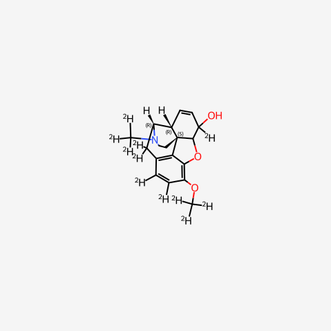 [2H]c1c([2H])c2c3c(c1OC([2H])([2H])[2H])OC1C([2H])(O)C=C[C@H]4[C@H](N(C([2H])([2H])[2H])CC[C@]314)C2([2H])[2H]